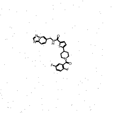 O=C(NCc1ccc2ncnn2c1)c1ccc(C2CCN(C(=O)c3cc(F)ccc3F)CC2)s1